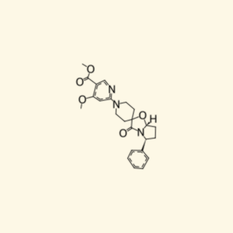 COC(=O)c1cnc(N2CCC3(CC2)O[C@@H]2CC[C@@H](c4ccccc4)N2C3=O)cc1OC